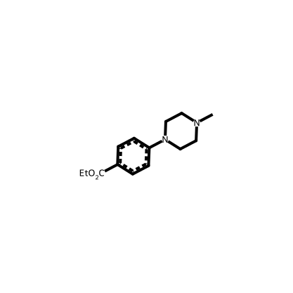 CCOC(=O)c1ccc(N2CCN(C)CC2)cc1